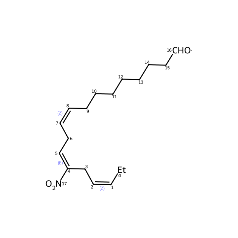 CC/C=C\C/C(=C\C/C=C\CCCCCCC[C]=O)[N+](=O)[O-]